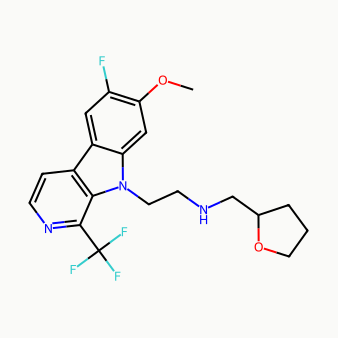 COc1cc2c(cc1F)c1ccnc(C(F)(F)F)c1n2CCNCC1CCCO1